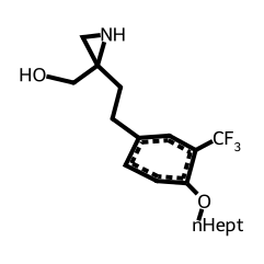 CCCCCCCOc1ccc(CCC2(CO)CN2)cc1C(F)(F)F